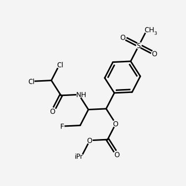 CC(C)OC(=O)OC(c1ccc(S(C)(=O)=O)cc1)C(CF)NC(=O)C(Cl)Cl